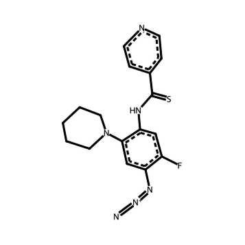 [N-]=[N+]=Nc1cc(N2CCCCC2)c(NC(=S)c2ccncc2)cc1F